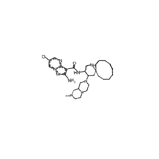 CN1CCN2CCN(C3CC4(CCCCCCCCC4)NCC3NC(=O)c3c(N)nn4cc(Cl)cnc34)CC2C1